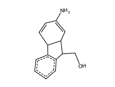 NC1=CC2C(C=C1)c1ccccc1C2CO